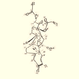 CCC(=O)OCC(=O)[C@@]1(OC(=O)CC)[C@@H](C)C[C@H]2[C@@H]3CCC4=CC(=O)C=C[C@]4(C)C3(Cl)[C@@H](OC(C)=O)C[C@@]21C